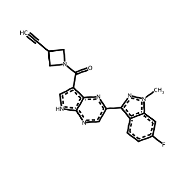 C#CC1CN(C(=O)c2c[nH]c3ncc(-c4nn(C)c5cc(F)ccc45)nc23)C1